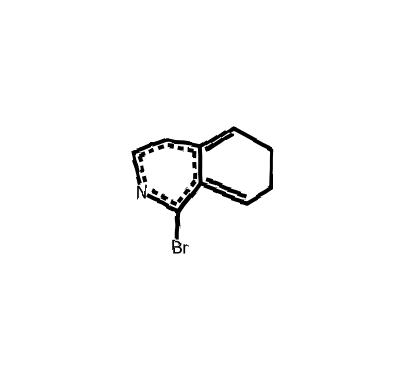 Brc1nccc2c1=CCCC=2